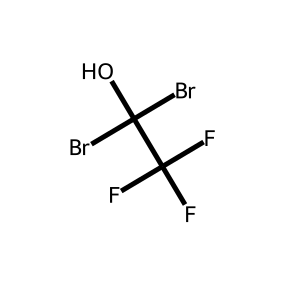 OC(Br)(Br)C(F)(F)F